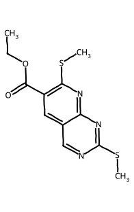 CCOC(=O)c1cc2cnc(SC)nc2nc1SC